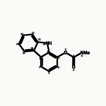 CNC(=O)Oc1cccc2c1[nH]c1ccccc12